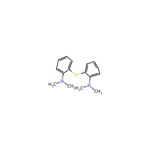 CN(C)c1ccccc1Sc1ccccc1N(C)C